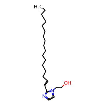 CCCCCCCCCCCCCCCC=Cc1nccn1CCO